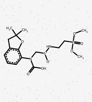 COP(=O)(CCN[S+]([O-])CN(C(=O)O)c1cccc2c1OC(C)(C)C2)OC